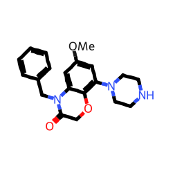 COc1cc(N2CCNCC2)c2c(c1)N(Cc1ccccc1)C(=O)CO2